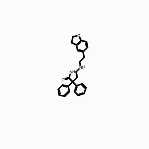 NC(=O)C(CCNCCc1ccc2c(c1)CCO2)(c1ccccc1)c1ccccc1